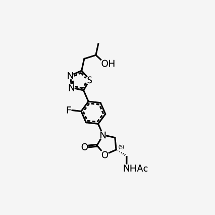 CC(=O)NC[C@H]1CN(c2ccc(-c3nnc(CC(C)O)s3)c(F)c2)C(=O)O1